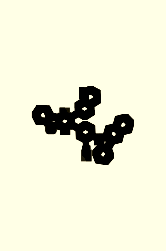 N#Cc1cc(-c2nc3oc4ccccc4c3nc2-c2ccc3cccnc3c2)ccc1-n1c2ccccc2c2cc3ccccc3cc21